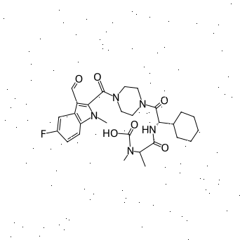 CC(C(=O)N[C@H](C(=O)N1CCN(C(=O)c2c(C=O)c3cc(F)ccc3n2C)CC1)C1CCCCC1)N(C)C(=O)O